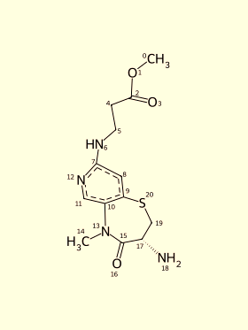 COC(=O)CCNc1cc2c(cn1)N(C)C(=O)[C@@H](N)CS2